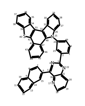 c1cc(-c2nc(-c3ccc4ccccc4c3)c3ncccc3n2)cc(-n2c3ccccc3c3c4c5ccccc5sc4c4ccccc4c32)c1